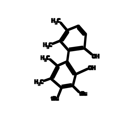 Cc1ccc(O)c(-c2c(C)c(C)c(C(C)(C)C)c(C(C)(C)C)c2O)c1C